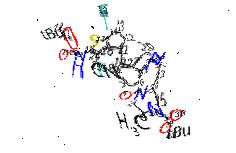 CC1CN2C(=O)c3cc(F)c(-c4ccc(F)c5sc(NC(=O)OC(C)(C)C)c(C#N)c45)c4cnn(c34)CCC2CN1C(=O)OC(C)(C)C